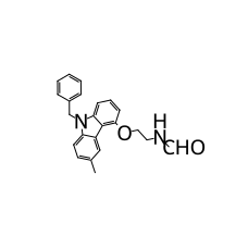 Cc1ccc2c(c1)c1c(OCCNC=O)cccc1n2Cc1ccccc1